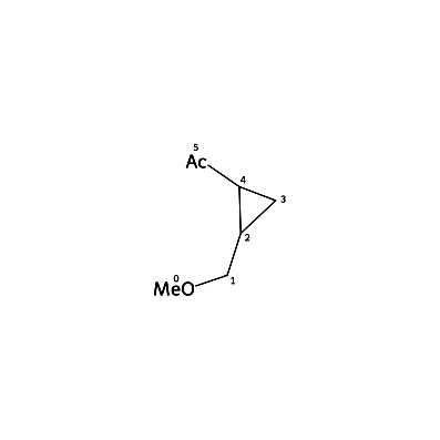 COCC1CC1C(C)=O